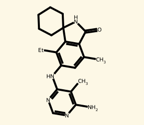 CCc1c(Nc2ncnc(N)c2C)cc(C)c2c1C1(CCCCC1)NC2=O